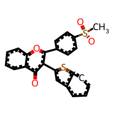 CS(=O)(=O)c1ccc(-c2oc3ccccc3c(=O)c2-c2cc3ccccc3s2)cc1